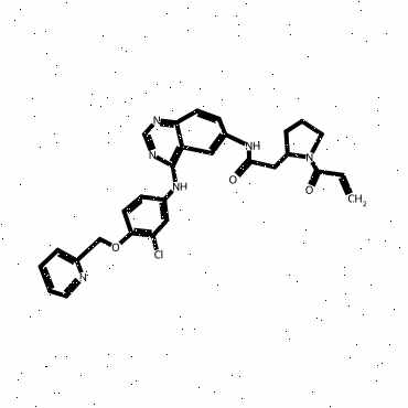 C=CC(=O)N1CCCC1CC(=O)Nc1ccc2ncnc(Nc3ccc(OCc4ccccn4)c(Cl)c3)c2c1